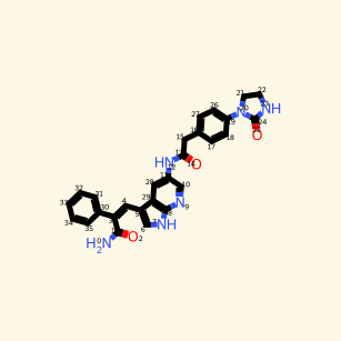 NC(=O)C(=Cc1c[nH]c2ncc(NC(=O)Cc3ccc(N4CCNC4=O)cc3)cc12)c1ccccc1